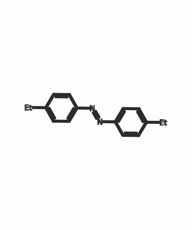 CCc1ccc(N=Nc2ccc(CC)cc2)cc1